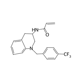 C=CC(=O)NC1Cc2ccccc2N(Cc2ccc(C(F)(F)F)cc2)C1